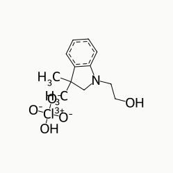 CC1(C)CN(CCO)c2ccccc21.[O-][Cl+3]([O-])([O-])O